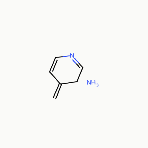 C=C1C=CN=CC1.N